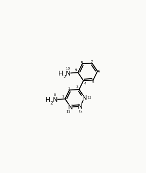 Nc1cc(-c2ccccc2N)nnn1